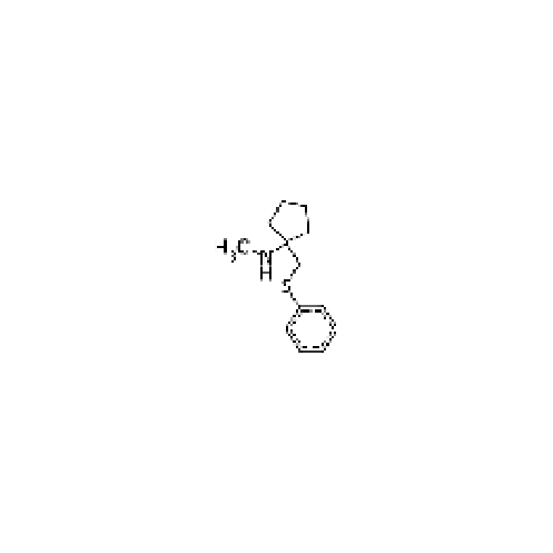 CNC1(CSc2ccccc2)CCCC1